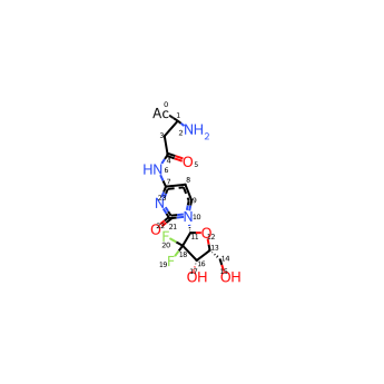 CC(=O)C(N)CC(=O)Nc1ccn([C@@H]2O[C@H](CO)[C@H](O)C2(F)F)c(=O)n1